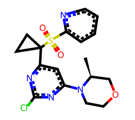 C[C@H]1COCCN1c1cc(C2(S(=O)(=O)c3ccccn3)CC2)nc(Cl)n1